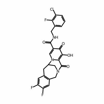 O=C(NCc1cccc(Cl)c1F)c1cn2c(c(O)c1=O)C(=O)N1Cc3cc(F)c(F)cc3CC2C1